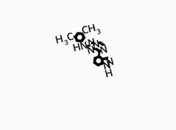 Cc1cc(C)cc(Nc2nc3c(-c4cccc5[nH]ncc45)nccn3n2)c1